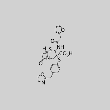 O=C(Cc1ccco1)NC1S[C@@H]2CC(=O)N2CC1(Sc1ccc(Cc2ncco2)cc1)C(=O)O